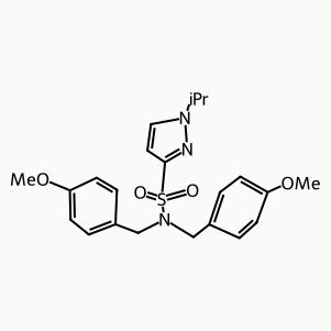 COc1ccc(CN(Cc2ccc(OC)cc2)S(=O)(=O)c2ccn(C(C)C)n2)cc1